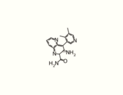 Cc1cncc(C2=c3ncccc3=NC(C(N)=O)[C@H]2N)c1C